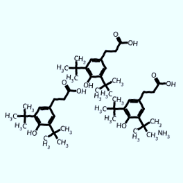 CC(C)(C)c1cc(CCC(=O)O)cc(C(C)(C)C)c1O.CC(C)(C)c1cc(CCC(=O)O)cc(C(C)(C)C)c1O.CC(C)(C)c1cc(CCC(=O)O)cc(C(C)(C)C)c1O.N